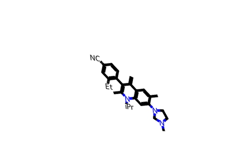 C=C1C(c2ccc(C#N)cc2CC)=C(C)N(C(C)C)c2cc(N3CCN(C)C3)c(C)cc21